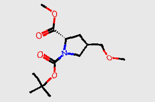 COCC1C[C@@H](C(=O)OC)N(C(=O)OC(C)(C)C)C1